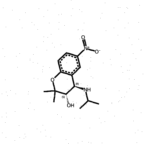 CC(C)N[C@@H]1c2cc([N+](=O)[O-])ccc2OC(C)(C)[C@H]1O